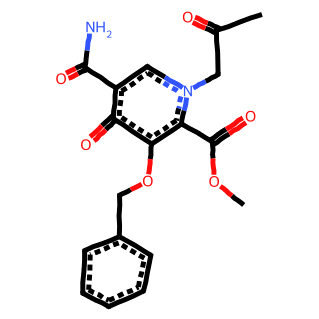 COC(=O)c1c(OCc2ccccc2)c(=O)c(C(N)=O)cn1CC(C)=O